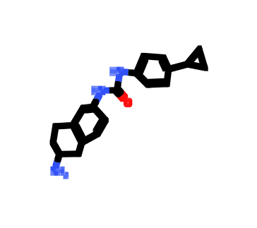 NC1CCc2cc(NC(=O)Nc3ccc(C4CC4)cc3)ccc2C1